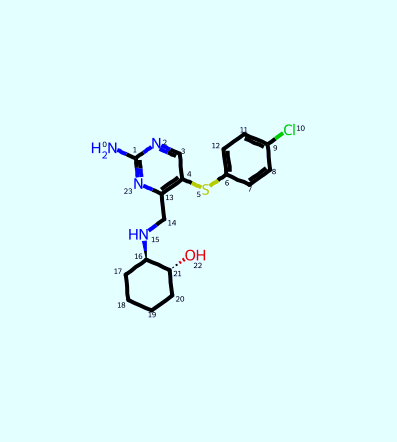 Nc1ncc(Sc2ccc(Cl)cc2)c(CN[C@@H]2CCCC[C@H]2O)n1